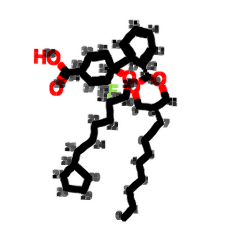 CCCCCCCC[C@H]1CO[C@H](c2ccccc2C2(OCCCCCCC3CCCC3)C=CC(C(=O)O)C=C2F)OC1